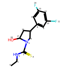 CCNC(=S)N1CC(c2cc(F)cc(F)c2)CC1O